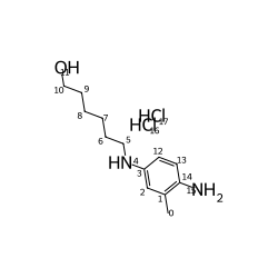 Cc1cc(NCCCCCCO)ccc1N.Cl.Cl